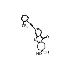 O=c1c2ccc(C#Cc3ccccc3C(F)(F)F)cc2nc2n1CCC(O)(O)CC2